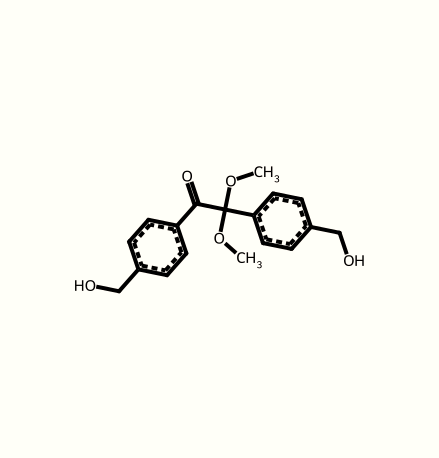 COC(OC)(C(=O)c1ccc(CO)cc1)c1ccc(CO)cc1